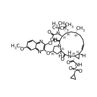 CC[C@@H]1C[C@H](C)CCC=C[C@@H]2C[C@@]2(C(=O)NS(=O)(=O)C2CC2)NC(=O)[C@@H]2C[C@@H](Oc3nc4cc(OC)ccc4nc3Cl)CN2C(=O)[C@H]1N(C(=O)O)C(C)(C)C